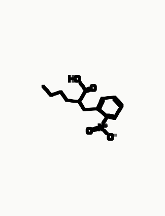 CCCCC(Cc1ccccc1[N+](=O)[O-])C(=O)O